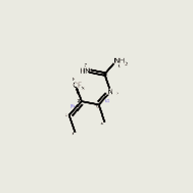 C/C=C(\C(C)=N/C(=N)N)C(F)(F)F